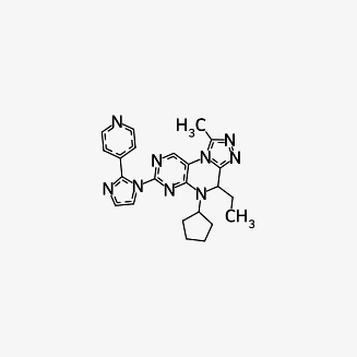 CCC1c2nnc(C)n2-c2cnc(-n3ccnc3-c3ccncc3)nc2N1C1CCCC1